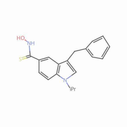 CC(C)n1cc(Cc2ccccc2)c2cc(C(=S)NO)ccc21